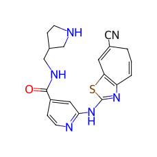 N#CC1=Cc2sc(Nc3cc(C(=O)NCC4CCNC4)ccn3)nc2C=CC1